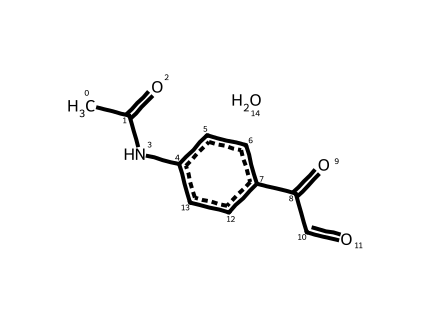 CC(=O)Nc1ccc(C(=O)C=O)cc1.O